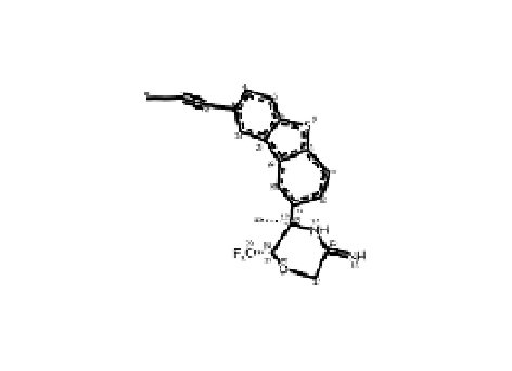 CC#Cc1ccc2sc3ccc([C@@]4(C)NC(=N)CO[C@@H]4C(F)(F)F)cc3c2c1